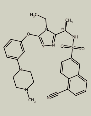 CCn1c(Oc2cccc(N3CCN(C)CC3)c2)nnc1[C@@H](C)NS(=O)(=O)c1ccc2c(C#N)cccc2c1